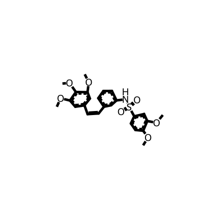 COc1ccc(S(=O)(=O)Nc2cccc(/C=C\c3cc(OC)c(OC)c(OC)c3)c2)cc1OC